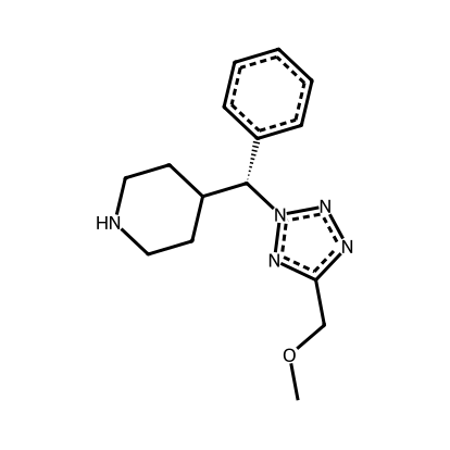 COCc1nnn([C@@H](c2ccccc2)C2CCNCC2)n1